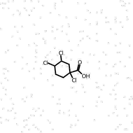 O=C(O)C1(Cl)CCC(Cl)C(Cl)C1